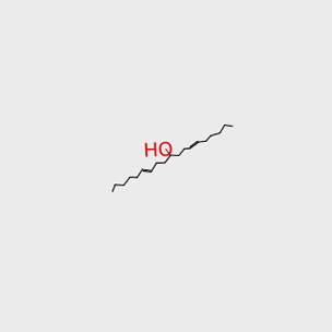 CCCCCC=CCCC(O)CCC=CCCCCC